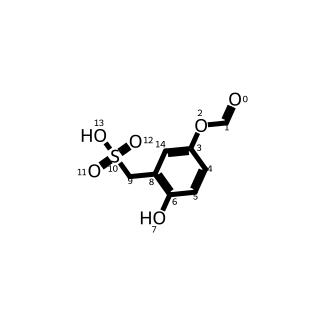 O=COc1ccc(O)c(CS(=O)(=O)O)c1